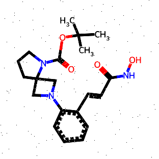 CC(C)(C)OC(=O)N1CCCC12CN(c1ccccc1/C=C/C(=O)NO)C2